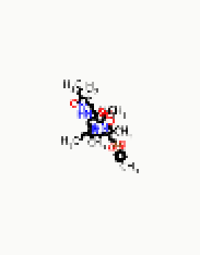 CCCC1=C(C)C(/C=C2\NC(=O)C(C)=C2CCS(=O)(=O)c2ccc(C)cc2)=NC/1=C\c1[nH]c(/C=C2\NC(=O)C(CCC)C2C)c(C)c1CCC(=O)OC